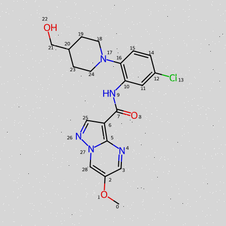 COc1cnc2c(C(=O)Nc3cc(Cl)ccc3N3CCC(CO)CC3)cnn2c1